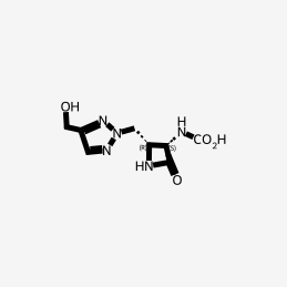 O=C(O)N[C@@H]1C(=O)N[C@@H]1Cn1ncc(CO)n1